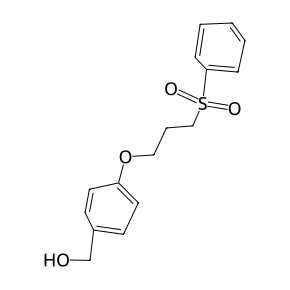 O=S(=O)(CCCOc1ccc(CO)cc1)c1ccccc1